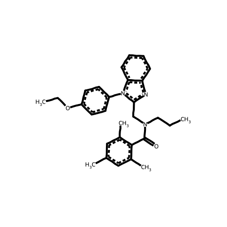 CCCN(Cc1nc2ccccc2n1-c1ccc(OCC)cc1)C(=O)c1c(C)cc(C)cc1C